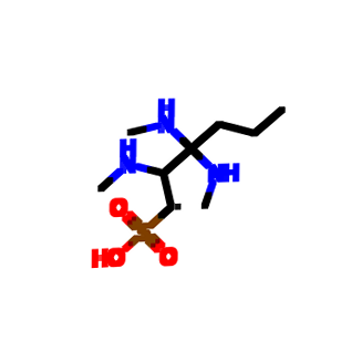 CCCC(NC)(NC)C([CH]S(=O)(=O)O)NC